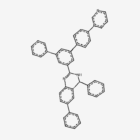 c1ccc(-c2cc(C3=Nc4ccc(-c5ccccc5)cc4C(c4ccccc4)N3)cc(-c3ccc(-c4cccnc4)cc3)c2)cc1